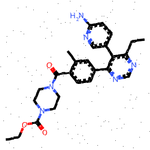 CCOC(=O)N1CCN(C(=O)c2ccc(-c3ncnc(CC)c3-c3ccc(N)nc3)cc2C)CC1